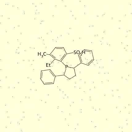 CCc1c(C)ccc(S(=O)(=O)O)c1P1C(c2ccccc2)CCC1c1ccccc1